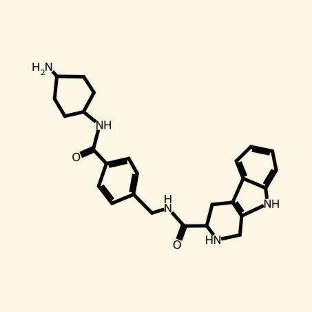 NC1CCC(NC(=O)c2ccc(CNC(=O)C3Cc4c([nH]c5ccccc45)CN3)cc2)CC1